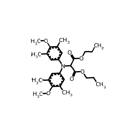 CCCOC(=O)C(C(=O)OCCC)N(c1cc(C)c(OC)c(C)c1)c1cc(C)c(OC)c(C)c1